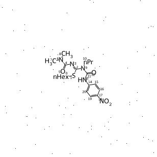 CCCCCCSC(=NC(=O)N(C)C)N(CCC)C(=O)Nc1ccc([N+](=O)[O-])cc1